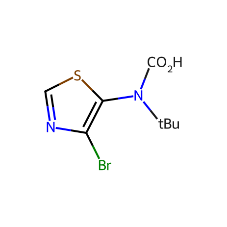 CC(C)(C)N(C(=O)O)c1scnc1Br